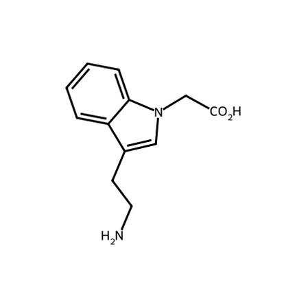 NCCc1cn(CC(=O)O)c2ccccc12